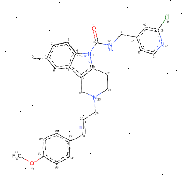 Cc1ccc2c(c1)c1c(n2C(=O)NCc2ccnc(Cl)c2)CCN(C/C=C/c2ccc(OC(F)(F)F)cc2)C1